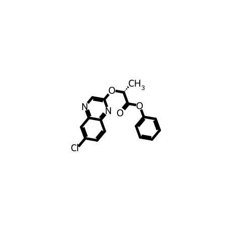 C[C@@H](Oc1cnc2cc(Cl)ccc2n1)C(=O)Oc1ccccc1